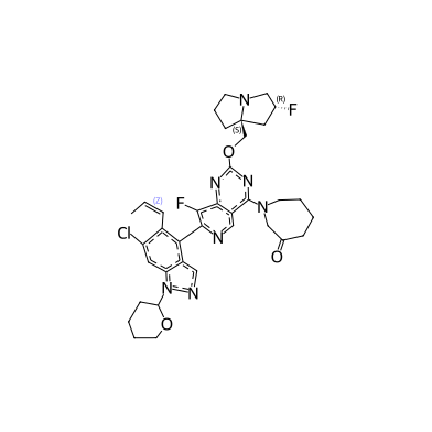 C/C=C\c1c(Cl)cc2c(cnn2C2CCCCO2)c1-c1ncc2c(N3CCCCC(=O)C3)nc(OC[C@@]34CCCN3C[C@H](F)C4)nc2c1F